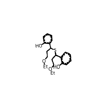 CCOCCC(SC(CCOCC)c1ccccc1O)c1ccccc1O